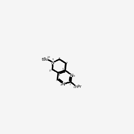 CCCc1ncc2c(n1)CCN(C(C)(C)C)C2